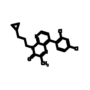 Cc1nc2c(-c3ccc(Cl)cc3Cl)ccnc2n(CCCC2CC2)c1=O